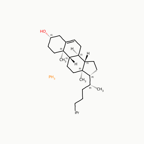 CC(C)CCC[C@@H](C)[C@H]1CC[C@H]2[C@@H]3CC=C4C[C@@H](O)CC[C@]4(C)[C@H]3CC[C@]12C.P